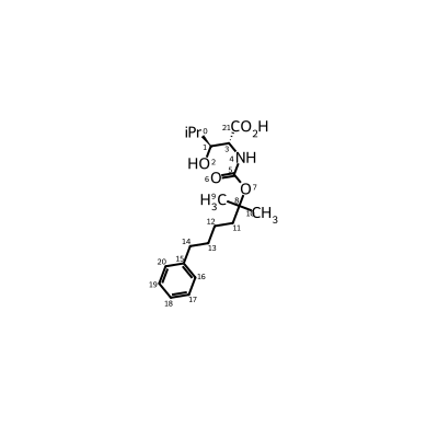 CC(C)[C@H](O)[C@@H](NC(=O)OC(C)(C)CCCCc1ccccc1)C(=O)O